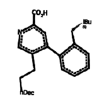 CCCCCCCCCCCCc1cnc(C(=O)O)cc1-c1ccccc1C[C@@H](C)CC